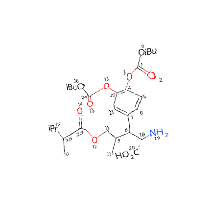 CC(C)COC(=O)Oc1ccc(C(C(C)COC(=O)C(C)C(C)C)[C@H](N)C(=O)O)cc1OC(=O)OCC(C)C